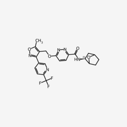 Cc1onc(-c2ccc(C(F)(F)F)nc2)c1COc1ccc(C(=O)N[C@H]2CC3CCC2O3)nn1